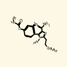 CCCn1c(CCOC)nc2c(N)nc3cc(OC(=O)NC(C)C)ccc3c21